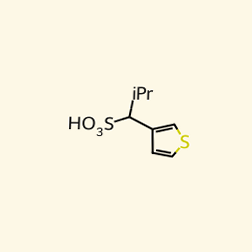 CC(C)C(c1ccsc1)S(=O)(=O)O